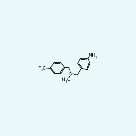 CN(Cc1ccc(N)cc1)Cc1ccc(C(F)(F)F)cc1